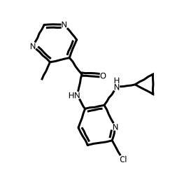 Cc1ncncc1C(=O)Nc1ccc(Cl)nc1NC1CC1